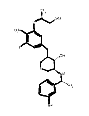 COC[C@@H](Oc1cc(C[C@@H]2CSC[C@H](N[C@H](C)c3cccc(C(C)(C)C)c3)[C@H]2O)cc(F)c1[N+](=O)[O-])C(F)(F)F